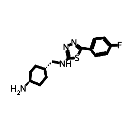 N[C@H]1CC[C@H](CNc2nnc(-c3ccc(F)cc3)s2)CC1